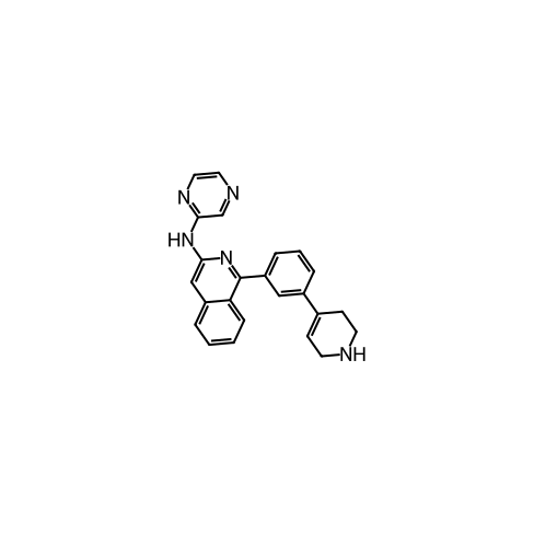 C1=C(c2cccc(-c3nc(Nc4cnccn4)cc4ccccc34)c2)CCNC1